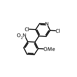 COc1cccc([N+](=O)[O-])c1-c1cc(Cl)ncc1Cl